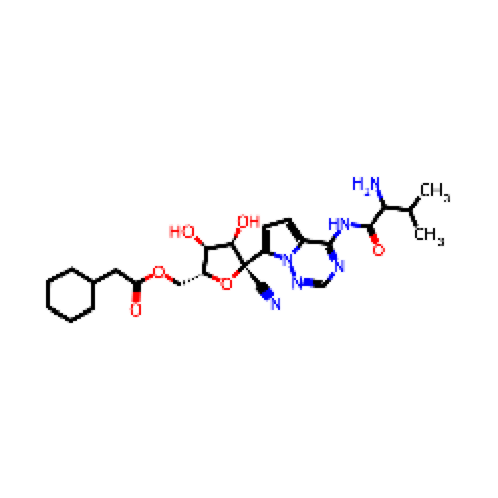 CC(C)C(N)C(=O)Nc1ncnn2c([C@]3(C#N)O[C@H](COC(=O)CC4CCCCC4)[C@@H](O)[C@H]3O)ccc12